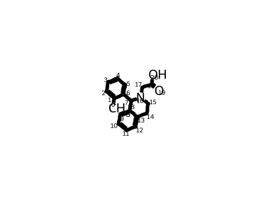 Cc1ccccc1C1c2ccccc2CCN1CC(=O)O